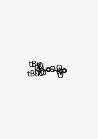 CC(C(=O)c1ccc(OCCCN2C(=O)c3ccccc3C2=O)cc1)C(C(=O)OC(C)(C)C)C(=O)OC(C)(C)C